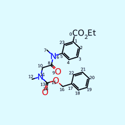 CCOC(=O)c1cccc(N(C)C(=O)CN(C)C(=O)OCc2ccccc2)c1